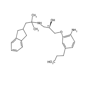 CC(C)(CC1Cc2ccccc2C1)NC[C@@H](O)COc1cc(CCC(=O)O)ccc1N